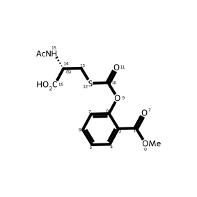 COC(=O)c1ccccc1OC(=O)SC[C@@H](NC(C)=O)C(=O)O